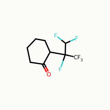 O=C1CCCCC1C(F)(C(F)F)C(F)(F)F